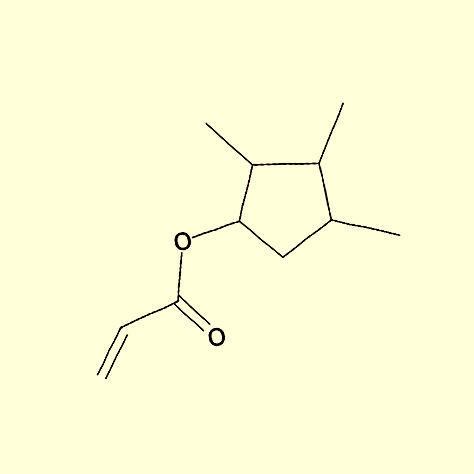 C=CC(=O)OC1CC(C)C(C)C1C